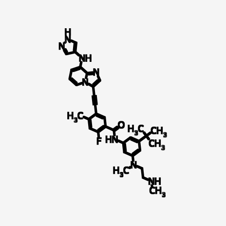 CNCCN(C)c1cc(NC(=O)c2cc(C#Cc3cnc4c(Nc5cn[nH]c5)cccn34)c(C)cc2F)cc(C(C)(C)C)c1